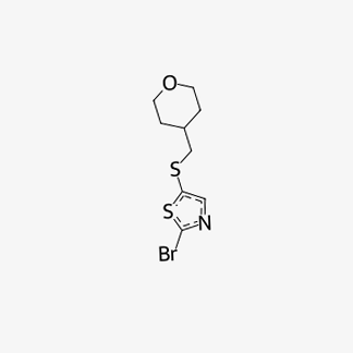 Brc1ncc(SCC2CCOCC2)s1